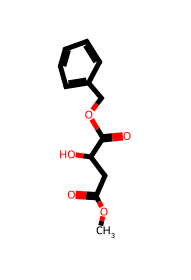 COC(=O)CC(O)C(=O)OCc1ccccc1